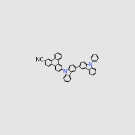 N#Cc1ccc2c3ccc(-n4c5ccccc5c5cc(-c6ccc7c(c6)c6ccccc6n7-c6ccccc6)ccc54)cc3c3ccccc3c2c1